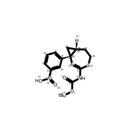 CC(C)(C)OC(=O)NC1=N[C@]2(c3cccc([N+](=O)O)c3)C[C@@H]2CCS1